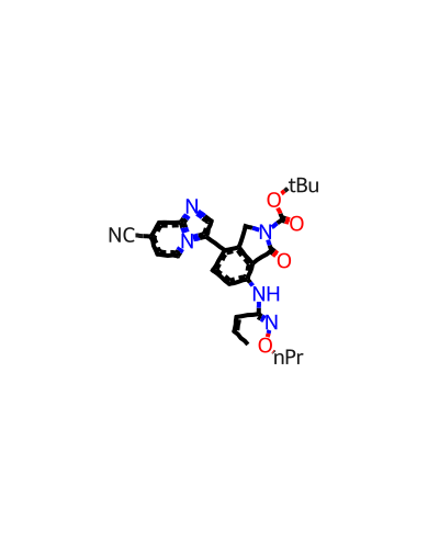 C/C=C\C(=N/OCCC)Nc1ccc(-c2cnc3cc(C#N)ccn23)c2c1C(=O)N(C(=O)OC(C)(C)C)C2